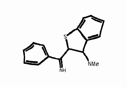 CNC1c2ccccc2SC1C(=N)c1ccccc1